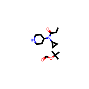 CC(C)(C)OC=O.CCC(=O)N(C1CCNCC1)C1CC1